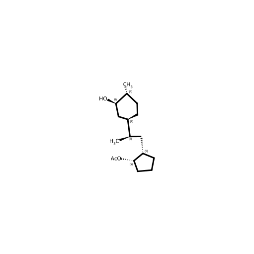 CC(=O)O[C@H]1CCC[C@H]1C[C@@H](C)[C@@H]1CC[C@@H](C)[C@H](O)C1